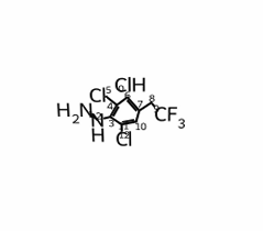 Cl.NNc1c(Cl)cc(CC(F)(F)F)cc1Cl